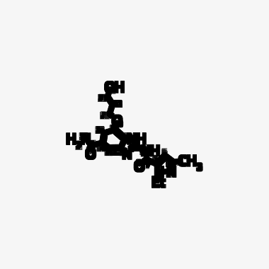 CCn1nc(C)cc1C(=O)Nc1nc2cc(C(N)=O)cc(OCCCO)c2[nH]1